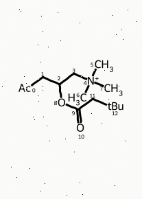 CC(=O)CC(C[N+](C)(C)C)OC(=O)CC(C)(C)C